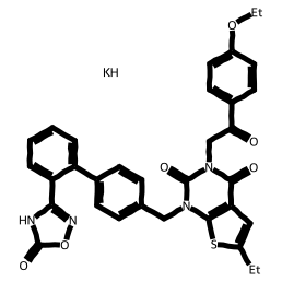 CCOc1ccc(C(=O)Cn2c(=O)c3cc(CC)sc3n(Cc3ccc(-c4ccccc4-c4noc(=O)[nH]4)cc3)c2=O)cc1.[KH]